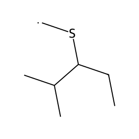 [CH2]SC(CC)C(C)C